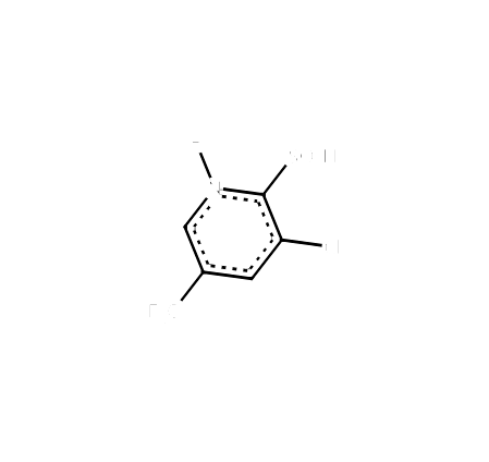 O=S(=O)(O)c1c(Cl)cc(C(F)(F)F)c[n+]1F